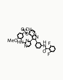 COc1ccc(S(C)(=O)=O)cc1Nc1nccc(-c2c(-c3cccc(NC(=O)c4c(F)cccc4F)c3)nn3ccccc23)n1